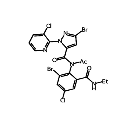 CCNC(=O)c1cc(Cl)cc(Br)c1N(C(C)=O)C(=O)c1cc(Br)nn1-c1ncccc1Cl